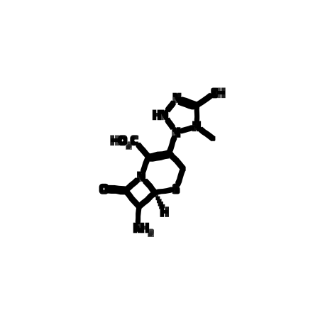 CN1C(S)=NNN1C1=C(C(=O)O)N2C(=O)C(N)[C@@H]2SC1